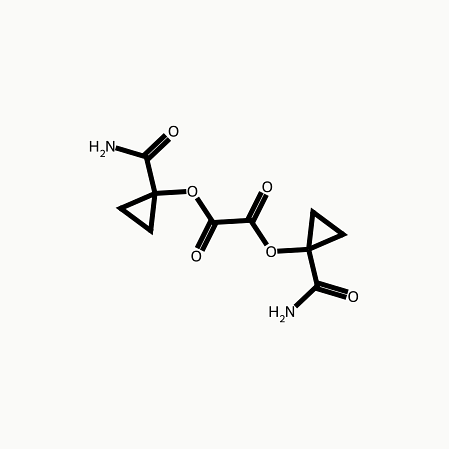 NC(=O)C1(OC(=O)C(=O)OC2(C(N)=O)CC2)CC1